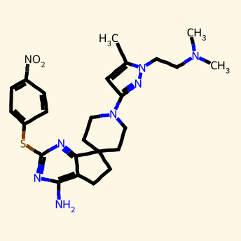 Cc1cc(N2CCC3(CCc4c(N)nc(Sc5ccc([N+](=O)[O-])cc5)nc43)CC2)nn1CCN(C)C